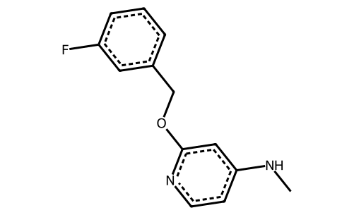 CNc1ccnc(OCc2cccc(F)c2)c1